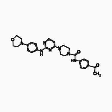 CC(=O)c1ccc(NC(=O)N2CCN(c3ccnc(Nc4ccc(N5CCOCC5)cc4)n3)CC2)cc1